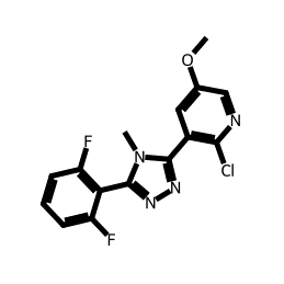 COc1cnc(Cl)c(-c2nnc(-c3c(F)cccc3F)n2C)c1